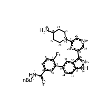 CCCCNC(=O)c1ccc(F)c(-c2ccc3[nH]nc(-c4cncc(N5CCC(N)CC5)n4)c3c2)c1